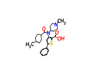 CC1CCC(C(=O)N(c2cc(-c3ccccc3)sc2C(=O)O)C2CCN(C)CC2)CC1